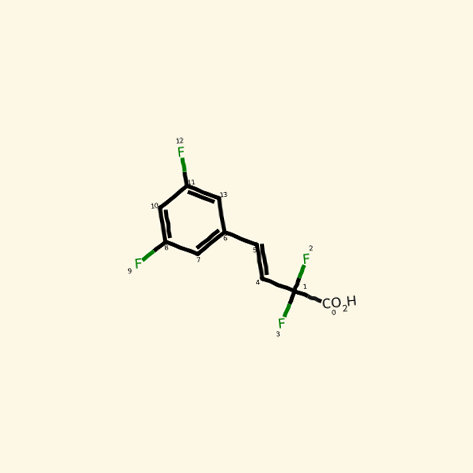 O=C(O)C(F)(F)/C=C/c1cc(F)cc(F)c1